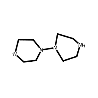 C1CN(N2CCNCC2)CC[N]1